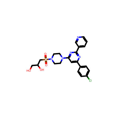 O=S(=O)(CC(O)CO)N1CCN(c2cc(-c3ccc(Cl)cc3)nc(-c3cccnc3)n2)CC1